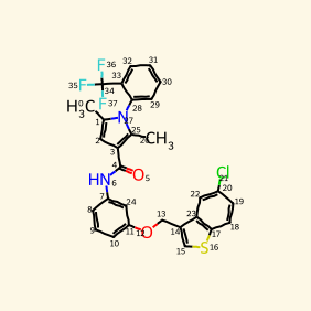 Cc1cc(C(=O)Nc2cccc(OCc3csc4ccc(Cl)cc34)c2)c(C)n1-c1ccccc1C(F)(F)F